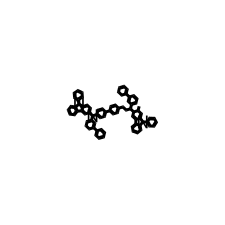 CC1C=c2c(c3ccccc3n2-c2ccccc2)=CC1C(CCc1ccc(-c2ccc(N(C3=CCCC(c4ccccc4)=C3)c3ccc4c(c3)c3ccccc3n4-c3ccccc3)cc2)cc1)c1cccc(C2=CC=CCC2)c1